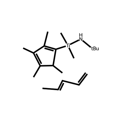 C=CC=CC.CC1=C(C)C(C)[C]([Ti]([CH3])([CH3])[NH]C(C)(C)C)=C1C